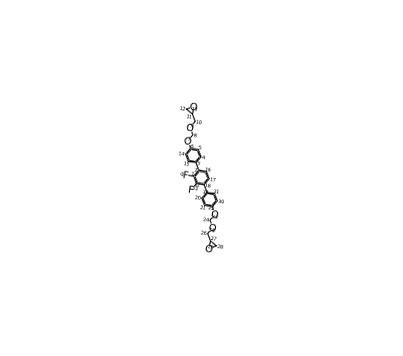 Fc1c(-c2ccc(OCOCC3CO3)cc2)ccc(-c2ccc(OCOCC3CO3)cc2)c1F